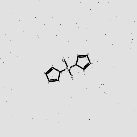 [Cl][Mo]([Cl])([CH]1C=CC=C1)[CH]1C=CC=C1